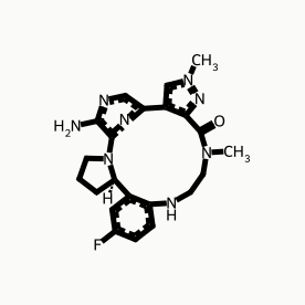 CN1CCNc2ccc(F)cc2[C@H]2CCCN2c2nc(cnc2N)-c2cn(C)nc2C1=O